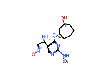 CC(C)(C)Nc1ncc(C(N)/C=N/O)c(N[C@@H]2CCCC[C@H](O)C2)n1